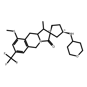 CSc1cc(C(F)(F)F)cc2c1CC1C(C)[C@@]3(CC[C@@H](NC4CCOCC4)C3)C(=O)N1C2